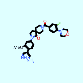 COc1cc(N2CCC3(CCN(C(=O)c4ccc(N5CCOCC5)c(F)c4)CC3)C2=O)ccc1/C(C=N)=C/N